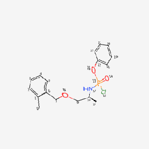 Cc1ccccc1COC[C@H](C)NP(=O)(Cl)Oc1ccccc1